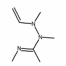 C=CN(C)N(C)/C(C)=N/C